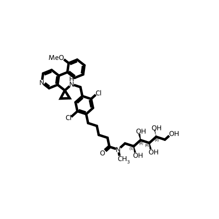 COc1ccccc1-c1ccncc1C1(NCc2cc(Cl)c(CCCCC(=O)N(C)C[C@H](O)[C@@H](O)[C@H](O)[C@H](O)CO)cc2Cl)CC1